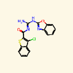 N/C(=N\C(=O)c1sc2ccccc2c1Cl)Nc1nc2ccccc2o1